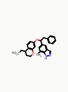 Cc1cc(C(Cc2ccccc2)Oc2ccc3c(c2)OCCC3CC(=O)O)cc2cn[nH]c12